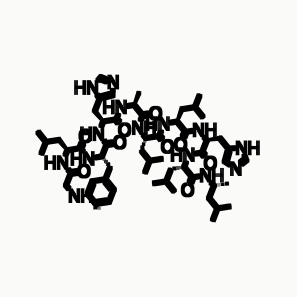 CC(C)C[C@@H](C)NC(=O)[C@H](CC(C)C)NC(=O)[C@H](Cc1cnc[nH]1)NC(=O)[C@H](CC(C)C)NC(=O)[C@H](CC(C)C)NC(=O)[C@H](C)NC(=O)[C@H](Cc1cnc[nH]1)NC(=O)[C@H](Cc1ccccc1)NC(=O)[C@H](CC(C)C)NC(=O)CN